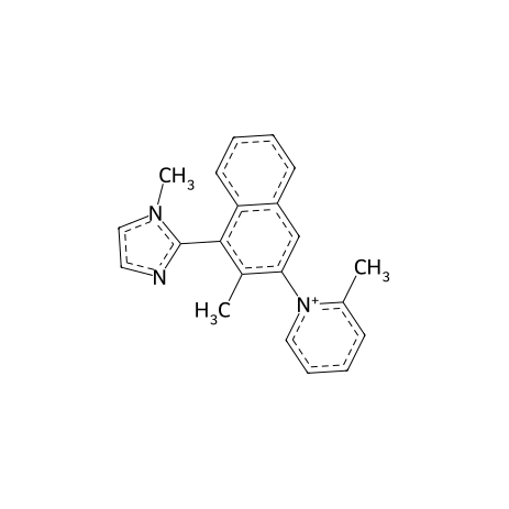 Cc1c(-[n+]2ccccc2C)cc2ccccc2c1-c1nccn1C